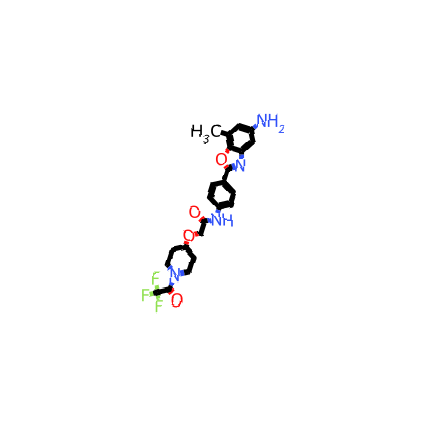 Cc1cc(N)cc2nc(-c3ccc(NC(=O)COC4CCN(C(=O)C(F)(F)F)CC4)cc3)oc12